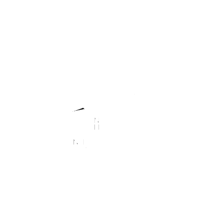 N[C@@H]1CCCC[C@H]1CN[C@H]1CCc2cc(F)ccc2C1